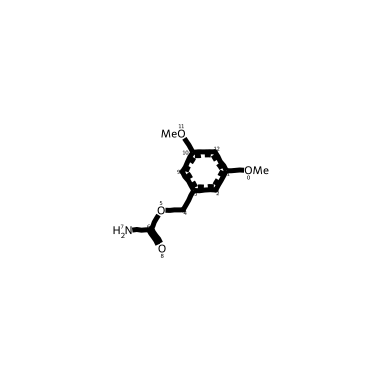 COc1cc(COC(N)=O)cc(OC)c1